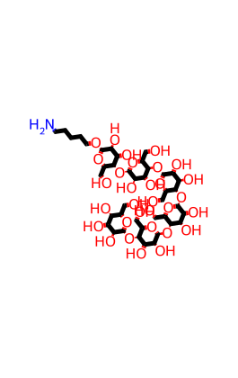 NCCCCCO[C@@H]1OC(CO)[C@@H](O[C@@H]2OC(CO)[C@@H](O[C@H]3OC(CO)[C@H](O[C@H]4OC(CO)[C@@H](O[C@@H]5OC(CO)[C@@H](O[C@@H]6OC(CO)[C@@H](O)C(O)[C@@H]6O)C(O)[C@@H]5O)[C@H](O)C4O)[C@H](O)C3O)C(O)[C@@H]2O)C(O)[C@@H]1O